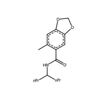 CCCC(CCC)NC(=O)c1cc2c(cc1C)OCO2